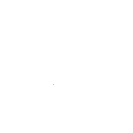 Cl.O=CNCCN1CCN(c2cccnc2-c2cccc3[nH]ccc23)CC1